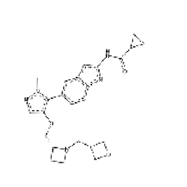 Cn1ncc(OC[C@H]2CCN2CC2COC2)c1-c1ccn2nc(NC(=O)C3CC3)cc2c1